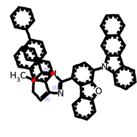 CC1C/C=C(c2ccc3ccccc3c2)/N=C(c2ccc(-n3c4ccccc4c4cc5ccccc5cc43)c3oc4ccccc4c23)\N=C/1c1ccc(-c2ccccc2)cc1